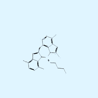 CCCC[SiH]=[Hf]([CH]1C(C)=Cc2c(C)ccc(C)c21)[CH]1C(C)=Cc2c(C)ccc(C)c21